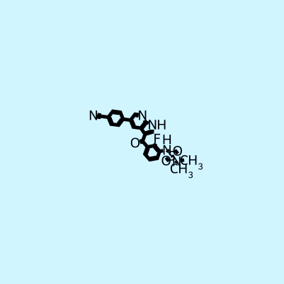 CN(C)S(=O)(=O)Nc1cccc(C(=O)c2c[nH]c3ncc(-c4ccc(C#N)cc4)cc23)c1F